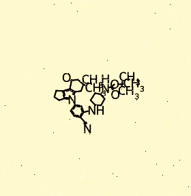 CC1(C)CC(=O)c2c3c(n(-c4ccc(C#N)c(N[C@H]5CC[C@H](NC(=O)OC(C)(C)C)CC5)c4)c2C1)CCC3